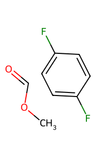 COC=O.Fc1ccc(F)cc1